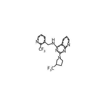 FC(F)(F)c1ncccc1CNc1nc(N2CCC(C(F)(F)F)C2)nc2ncccc12